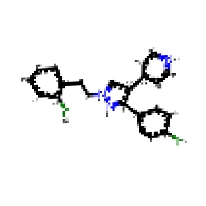 Fc1ccc(-c2nn(CCc3ccccc3Cl)cc2-c2ccncc2)cc1